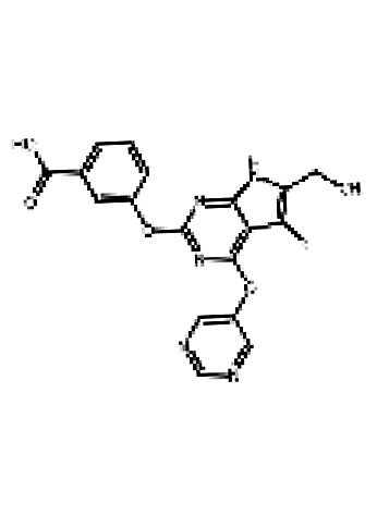 CCc1[nH]c2nc(Oc3cccc(C(=O)O)c3)nc(Oc3cncnc3)c2c1Cl